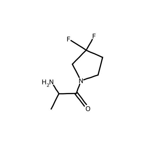 CC(N)C(=O)N1CCC(F)(F)C1